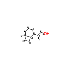 CC(CO)C1CCCC2(C)CCC12